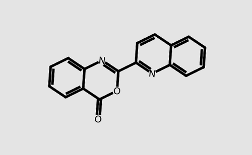 O=c1oc(-c2ccc3ccccc3n2)nc2ccccc12